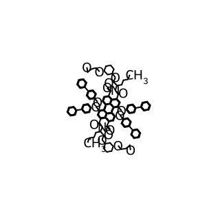 CCCCC(C(=O)OC1CCCC(OCC2CO2)C1)N1C(=O)c2cc(Oc3ccc(-c4ccccc4)cc3)c3c4c(Oc5ccc(-c6ccccc6)cc5)cc5c6c(cc(Oc7ccc(-c8ccccc8)cc7)c(c7c(Oc8ccc(-c9ccccc9)cc8)cc(c2c37)C1=O)c64)C(=O)N(C(CCCC)C(=O)OC1CCCC(OCC2CO2)C1)C5=O